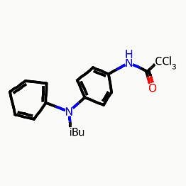 CCC(C)N(c1ccccc1)c1ccc(NC(=O)C(Cl)(Cl)Cl)cc1